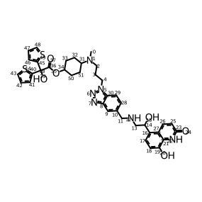 CN(CCCn1nnc2cc(CNCC(O)c3ccc(O)c4[nH]c(=O)ccc34)ccc21)C1CCC(OC(=O)C(O)(c2cccs2)c2cccs2)CC1